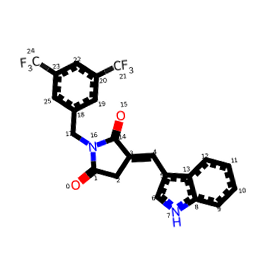 O=C1CC(=Cc2c[nH]c3ccccc23)C(=O)N1Cc1cc(C(F)(F)F)cc(C(F)(F)F)c1